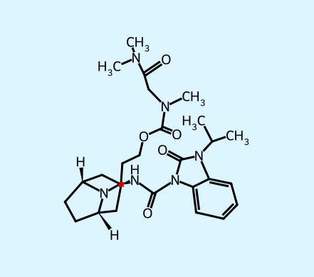 CC(C)n1c(=O)n(C(=O)N[C@@H]2C[C@H]3CC[C@@H](C2)N3CCCOC(=O)N(C)CC(=O)N(C)C)c2ccccc21